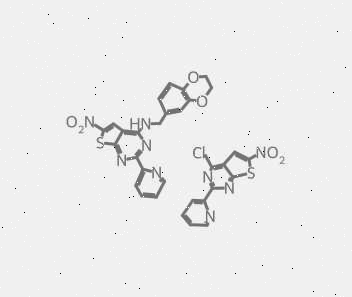 O=[N+]([O-])c1cc2c(Cl)nc(-c3ccccn3)nc2s1.O=[N+]([O-])c1cc2c(NCc3ccc4c(c3)OCCO4)nc(-c3ccccn3)nc2s1